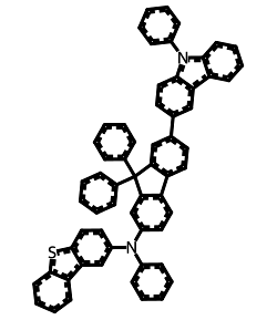 c1ccc(N(c2ccc3c(c2)C(c2ccccc2)(c2ccccc2)c2cc(-c4ccc5c(c4)c4ccccc4n5-c4ccccc4)ccc2-3)c2ccc3sc4ccccc4c3c2)cc1